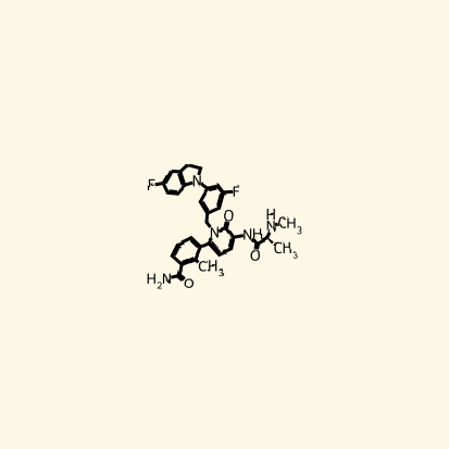 CN[C@@H](C)C(=O)Nc1ccc(-c2cccc(C(N)=O)c2C)n(Cc2cc(F)cc(N3CCc4cc(F)ccc43)c2)c1=O